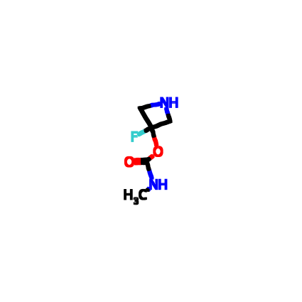 CNC(=O)OC1(F)CNC1